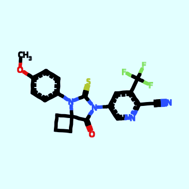 COc1ccc(N2C(=S)N(c3cnc(C#N)c(C(F)(F)F)c3)C(=O)C23CCC3)cc1